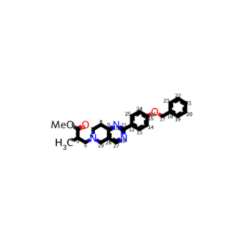 COC(=O)C(C)CN1CCc2nc(-c3ccc(OCc4ccccc4)cc3)ncc2C1